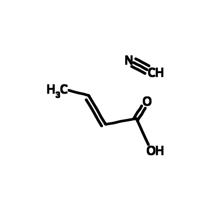 C#N.C/C=C/C(=O)O